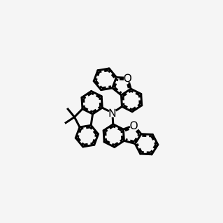 CC1(C)c2ccccc2-c2c(N(c3cccc4c3oc3ccccc34)c3cccc4oc5ccccc5c34)cccc21